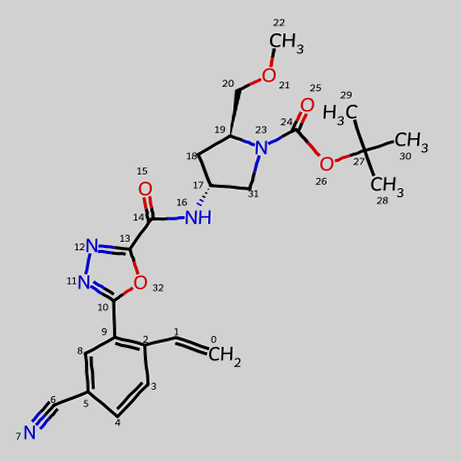 C=Cc1ccc(C#N)cc1-c1nnc(C(=O)N[C@@H]2C[C@@H](COC)N(C(=O)OC(C)(C)C)C2)o1